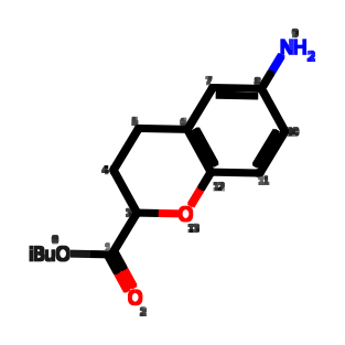 CC(C)COC(=O)C1CCc2cc(N)ccc2O1